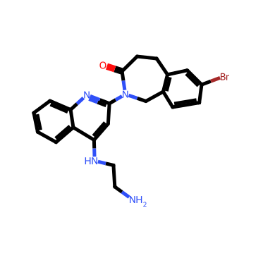 NCCNc1cc(N2Cc3ccc(Br)cc3CCC2=O)nc2ccccc12